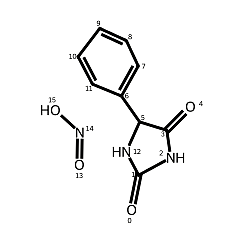 O=C1NC(=O)C(c2ccccc2)N1.O=NO